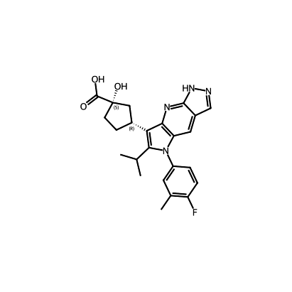 Cc1cc(-n2c(C(C)C)c([C@@H]3CC[C@@](O)(C(=O)O)C3)c3nc4[nH]ncc4cc32)ccc1F